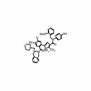 COc1ccccc1CN(C(=O)c1cc(-c2cc(Cl)c(C#N)cc2C(=O)N2Cc3ccccc3C[C@H]2CN2CCOCC2)n(C)c1C)c1ccc(O)cc1